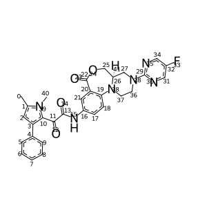 Cc1cc(-c2ccccc2)c(C(=O)C(=O)Nc2ccc3c(c2)C(=O)OC[C@H]2CN(c4ncc(F)cn4)CCN32)n1C